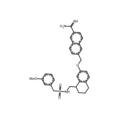 COc1cccc(CS(=O)(=O)NCC2CCCc3ccc(OCc4ccc5cc(C(=N)N)ccc5c4)cc32)c1